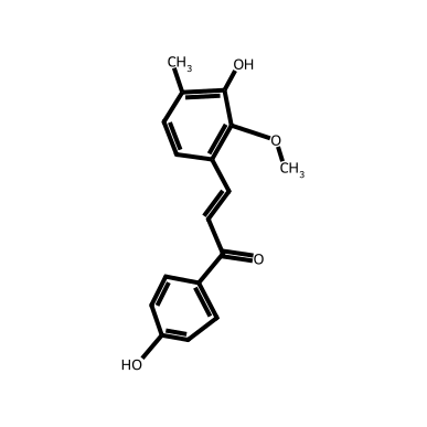 COc1c(/C=C/C(=O)c2ccc(O)cc2)ccc(C)c1O